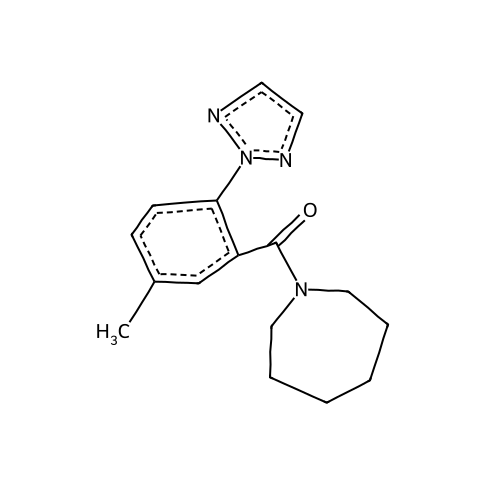 Cc1ccc(-n2nccn2)c(C(=O)N2CCCCCC2)c1